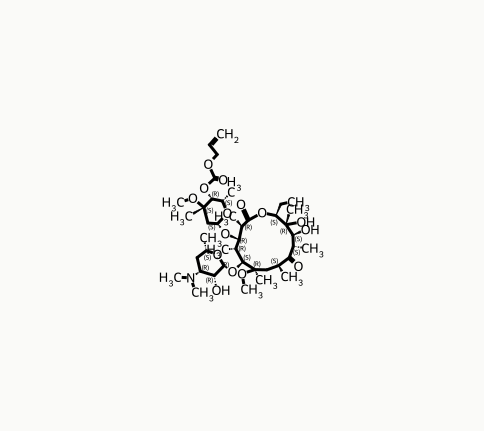 C=CCOC(=O)O[C@@H]1[C@H](C)O[C@H](O[C@@H]2[C@@H](C)[C@H](O[C@H]3O[C@@H](C)C[C@@H](N(C)C)[C@H]3O)[C@](C)(OC)C[C@H](C)C(=O)[C@@H](C)[C@H](O)[C@@](C)(O)[C@H](CC)OC(=O)[C@@H]2C)C[C@]1(C)OC